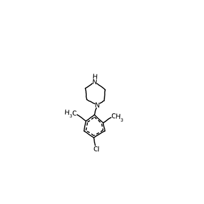 Cc1cc(Cl)cc(C)c1N1CCNCC1